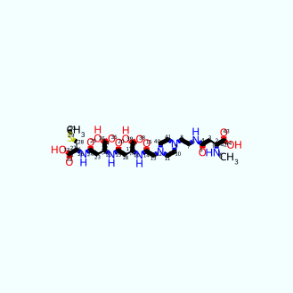 CN[C@@H](CC(=O)NCCN1CCN(CC(=O)N[C@@H](CC(=O)N[C@@H](CC(=O)N[C@@H](CSC)C(=O)O)C(=O)O)C(=O)O)CC1)C(=O)O